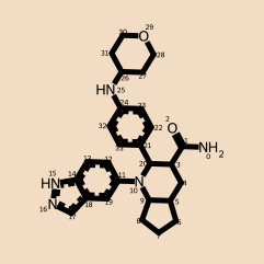 NC(=O)C1CC2CCCC2N(c2ccc3[nH]ncc3c2)C1c1ccc(NC2CCOCC2)cc1